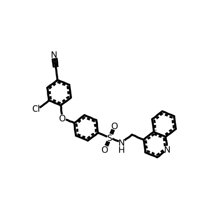 N#Cc1ccc(Oc2ccc(S(=O)(=O)NCc3ccnc4ccccc34)cc2)c(Cl)c1